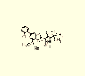 COc1nc(-c2ccccc2Cl)cc2nc(-c3c(Cl)c(C(C)(C)C)nn3C)[nH]c12.[NaH]